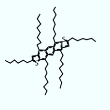 CCCCCCCCc1c2cc3c(CCCCCCCC)c4sc(CCCCCC)cc4c(CCCCCCCC)c3cc2c(CCCCCCCC)c2sc(CCCCCC)cc12